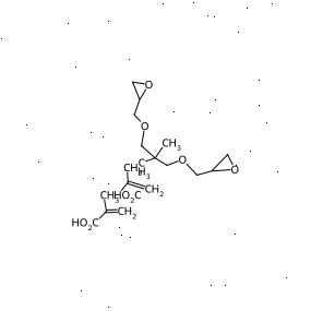 C=C(C)C(=O)O.C=C(C)C(=O)O.CC(C)(COCC1CO1)COCC1CO1